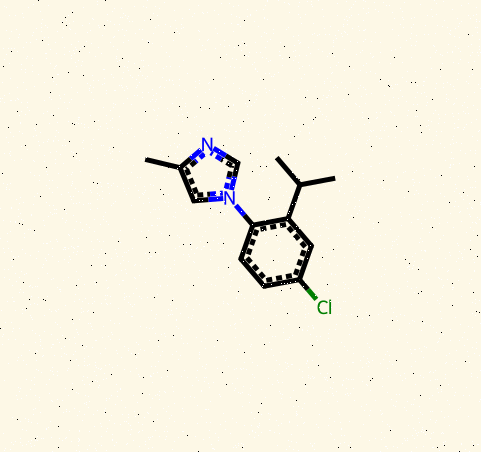 Cc1cn(-c2ccc(Cl)cc2C(C)C)cn1